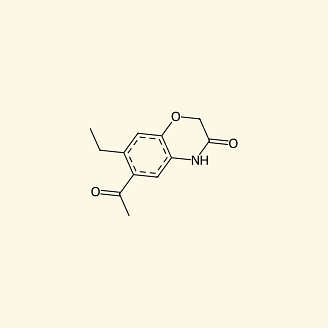 CCc1cc2c(cc1C(C)=O)NC(=O)CO2